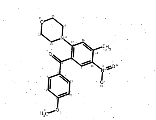 COc1ccc(C(=O)c2cc([N+](=O)[O-])c(C)cc2N2CCOCC2)cc1